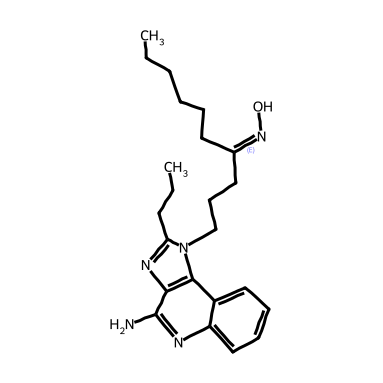 CCCCCC/C(CCCn1c(CCC)nc2c(N)nc3ccccc3c21)=N\O